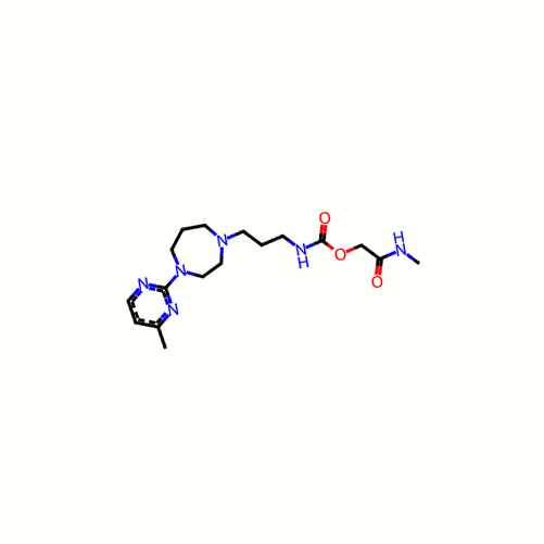 CNC(=O)COC(=O)NCCCN1CCCN(c2nccc(C)n2)CC1